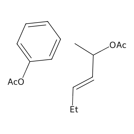 CC(=O)Oc1ccccc1.CCC=CC(C)OC(C)=O